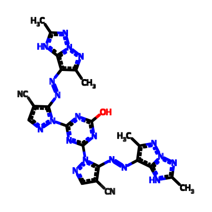 Cc1nn2nc(C)c(/N=N/c3c(C#N)cnn3-c3nc(O)nc(-n4ncc(C#N)c4/N=N/c4c(C)nn5nc(C)[nH]c45)n3)c2[nH]1